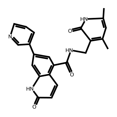 Cc1cc(C)c(CNC(=O)c2cc(-c3cccnc3)cc3[nH]c(=O)ccc23)c(=O)[nH]1